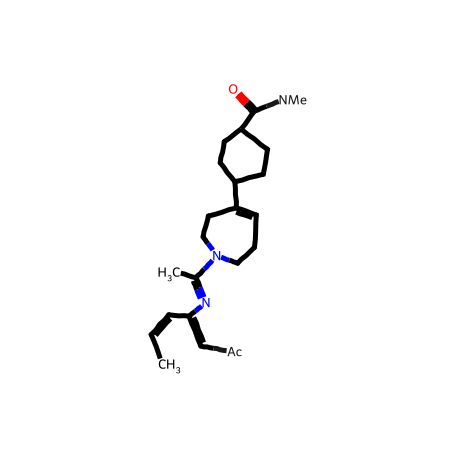 C\C=C/C(=C/C(C)=O)/N=C(\C)N1CCC=C(C2CCC(C(=O)NC)CC2)CC1